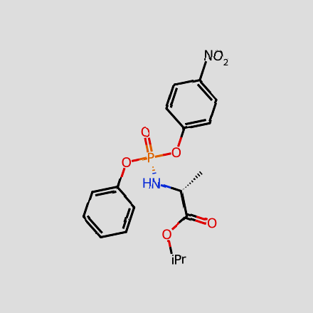 CC(C)OC(=O)[C@@H](C)N[P@@](=O)(Oc1ccccc1)Oc1ccc([N+](=O)[O-])cc1